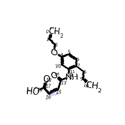 C=CCOc1ccc(CC=C)c(NC(=O)/C=C\C(=O)O)c1